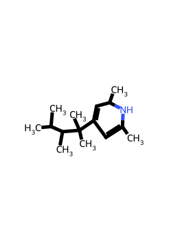 CC1=CC(C(C)(C)C(C)C(C)C)=CC(C)N1